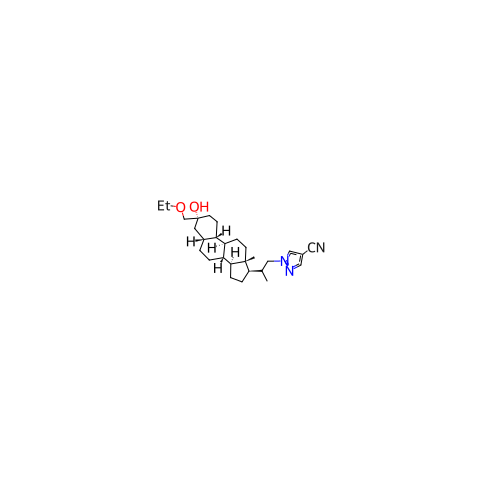 CCOC[C@@]1(O)CC[C@H]2[C@H](CC[C@@H]3[C@@H]2CC[C@]2(C)[C@@H](C(C)Cn4cc(C#N)cn4)CC[C@@H]32)C1